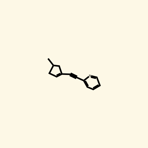 CC1CC=C(C#Cc2ccccn2)C1